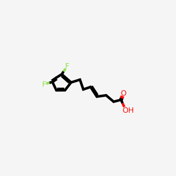 O=C(O)CC/C=C/CCc1ccc(F)cc1F